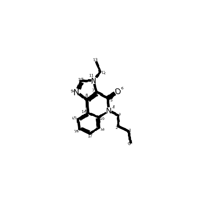 CCCCn1c(=O)c2c(ncn2CC)c2ccccc21